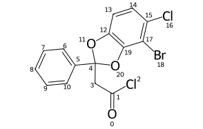 O=C(Cl)CC1(c2ccccc2)Oc2ccc(Cl)c(Br)c2O1